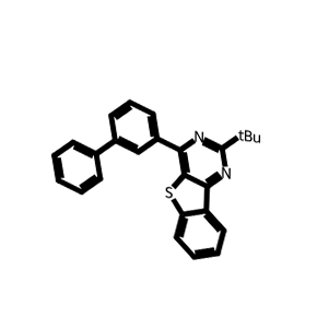 CC(C)(C)c1nc(-c2cccc(-c3ccccc3)c2)c2sc3ccccc3c2n1